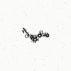 CCN(CC=CC(=O)N1CCc2c(sc3ncnc(Nc4ccc(OCc5ccccn5)c(Cl)c4)c23)C1)C(C)C